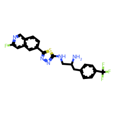 NC(CNc1nnc(-c2ccc3cnc(F)cc3c2)s1)Cc1ccc(C(F)(F)F)cc1